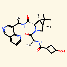 CC(C)(C)[C@H](NC(=O)C1CC(O)C1)C(=O)N1C[C@H]2[C@@H]([C@H]1C(=O)NC(C#N)c1cncc3cccnc13)C2(C)C